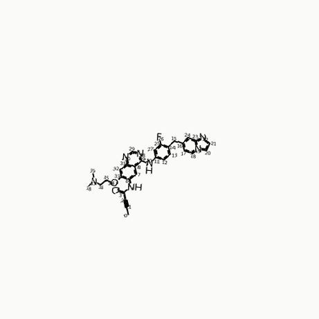 CC#CC(=O)Nc1cc2c(Nc3ccc(Cc4ccn5ccnc5c4)c(F)c3)ncnc2cc1OCCN(C)C